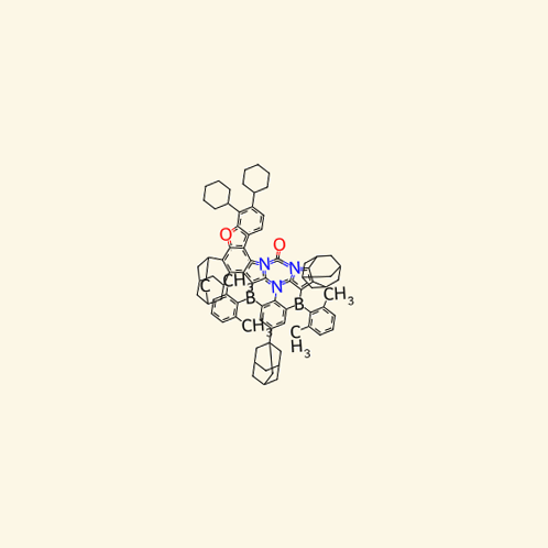 Cc1cccc(C)c1B1c2cc(C34CC5CC(CC(C5)C3)C4)cc3c2-n2c4c1c1c(n4c(=O)n4c5c(c6c(c7oc8c(C9CCCCC9)c(C9CCCCC9)ccc8c75)C5CC7CC(C5)CC6C7)c(c24)B3c2c(C)cccc2C)C2CC3CC(CC1C3)C2